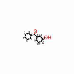 O=C(c1ccccc1)c1cc[c]c(O)c1